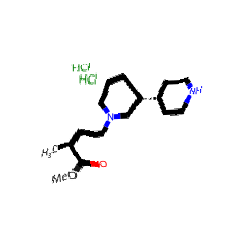 COC(=O)C(C)CCN1CCC[C@H](C2CCNCC2)C1.Cl.Cl